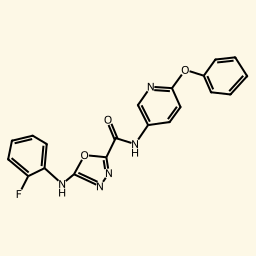 O=C(Nc1ccc(Oc2ccccc2)nc1)c1nnc(Nc2ccccc2F)o1